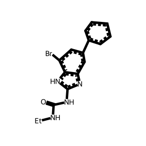 CCNC(=O)Nc1nc2cc(-c3ccccc3)cc(Br)c2[nH]1